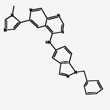 Cn1cncc1-c1cc2c(Nc3ccc4c(cnn4Cc4ccccc4)c3)ncnc2cn1